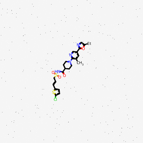 CCc1cnc(-c2cnc(N3CCC(C(=O)NS(=O)(=O)CC=Cc4ccc(Cl)s4)CC3)c(C)c2)o1